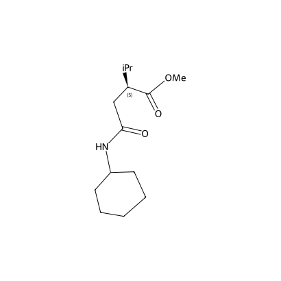 COC(=O)[C@@H](CC(=O)NC1CCCCC1)C(C)C